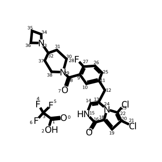 O=C(O)C(F)(F)F.O=C(c1cc(Cc2c[nH]c(=O)c3cc(Cl)c(Cl)n23)ccc1F)N1CCC(N2CCC2)CC1